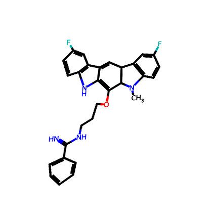 CN1c2ccc(F)cc2C2C=c3c([nH]c4ccc(F)cc34)=C(OCCCNC(=N)c3ccccc3)C21